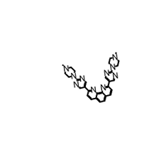 CN1CCN(c2ncc(-c3ccc4ccc5ccc(-c6cnc(N7CCN(C)CC7)nc6)nc5c4n3)cn2)CC1